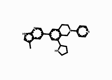 Cc1c[nH]c2ncc(-c3cc4c(c(C5CCCN5)c3)CN(c3ccncc3)CC4)cc12